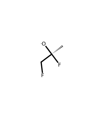 C[C@]([O])(F)CF